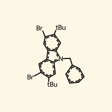 CC(C)(C)c1cc2c(cc1Br)c1cc(Br)c(C(C)(C)C)cc1n2Cc1ccccc1